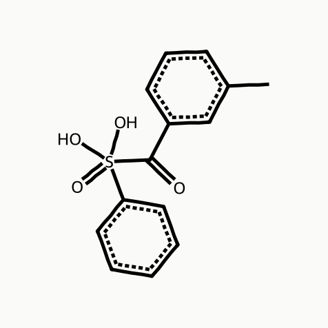 Cc1cccc(C(=O)S(=O)(O)(O)c2ccccc2)c1